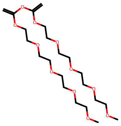 C=C(OCCOCCOCCOCCOC)OC(=C)OCCOCCOCCOCCOC